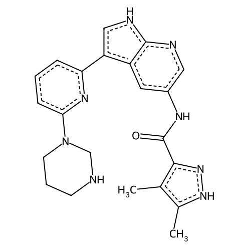 Cc1[nH]nc(C(=O)Nc2cnc3[nH]cc(-c4cccc(N5CCCNC5)n4)c3c2)c1C